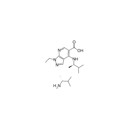 CC(C)[C@@H](C)N.CCn1ncc2c(N[C@H](C)C(C)C)c(C(=O)O)cnc21